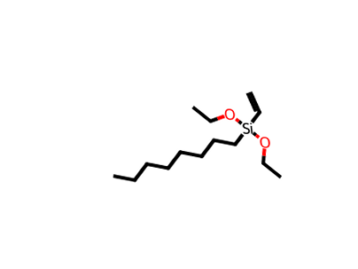 C=C[Si](CCCCCCCC)(OCC)OCC